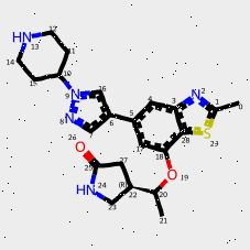 Cc1nc2cc(-c3cnn(C4CCNCC4)c3)cc(OC(C)[C@H]3CNC(=O)C3)c2s1